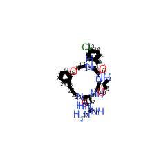 CC(C)[C@H]1NC(=O)[C@@H](Cc2ccc(Cl)cc2)NCCOc2ccccc2CCCNC(=O)[C@H](CNC(=N)N)NC1=O